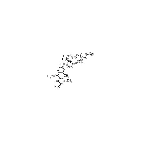 C=C=C(c1ccc(NC2=NC=CN(/C(=C\C)C3CC=C(CCC#N)C(F)=C3F)C2=C)cc1C)N(CCC)CCC